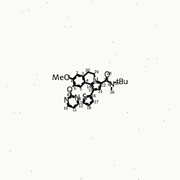 COc1cc2c(cc1Oc1ncccn1)-c1c(-c3cccs3)cc(C(=O)N(C)C(C)(C)C)n1CC2